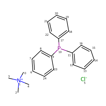 C[N+](C)(C)C.[Cl-].c1ccc(P(c2ccccc2)c2ccccc2)cc1